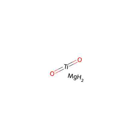 [MgH2].[O]=[Ti]=[O]